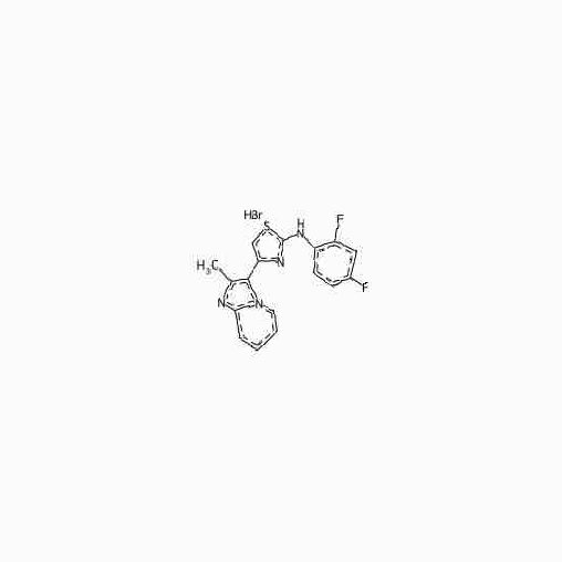 Br.Cc1nc2ccccn2c1-c1csc(Nc2ccc(F)cc2F)n1